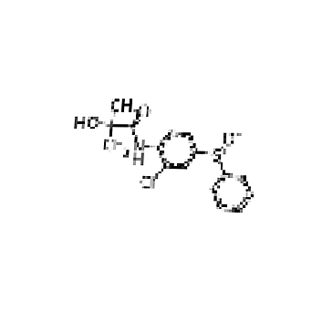 C[C@@](O)(C(=O)Nc1ccc([S+]([O-])c2ccccc2)cc1Cl)C(F)(F)F